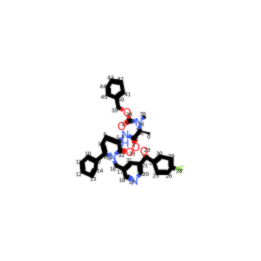 C[C@@H](C(=O)Nc1ccc(-c2ccccc2)n(Cc2cncc(C(=O)c3ccc(F)cc3)c2)c1=O)N(C)C(=O)OCc1ccccc1